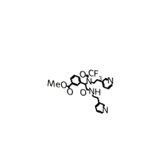 COC(=O)c1cccc(C(C(=O)NCCc2cccnc2)N(CCc2cccnc2)C(=O)C(F)(F)F)c1